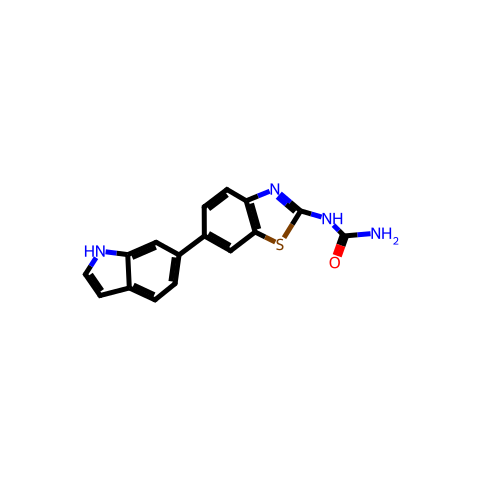 NC(=O)Nc1nc2ccc(-c3ccc4cc[nH]c4c3)cc2s1